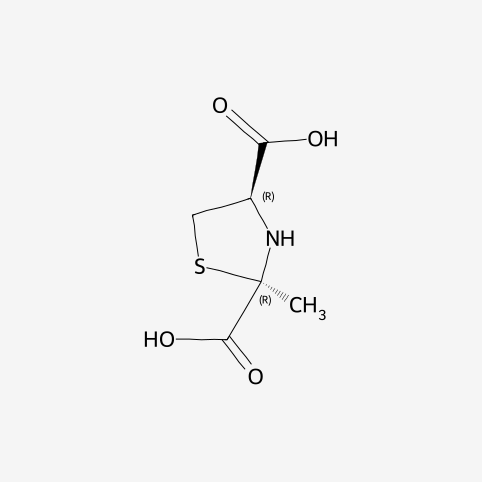 C[C@@]1(C(=O)O)N[C@H](C(=O)O)CS1